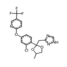 CC1COC(Cc2nc[nH]n2)(c2ccc(Oc3ccc(C(F)(F)F)cn3)cc2Cl)O1